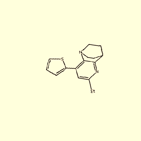 CCc1cc(-c2cccs2)c2c(n1)C1CCN2CC1